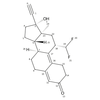 C#C[C@]1(O)CC[C@H]2[C@@H]3CCC4=CC(=O)CCC4=C3[C@@H](C(F)F)C[C@@]21C